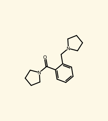 O=C(c1ccccc1CN1CCCC1)N1CCCC1